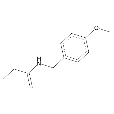 C=C(CC)NCc1ccc(OC)cc1